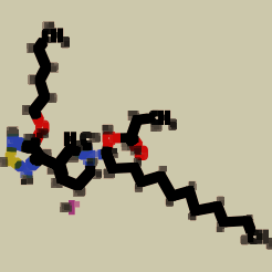 CCCCCCCCCCCC(OC(=O)CC)[N+]1(C)CCC=C(c2nsnc2OCCCCCC)C1.[I-]